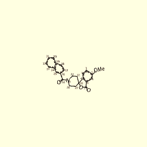 COc1ccc2c(c1)C(=O)OC21CCN(C(=O)c2ccc3ccccc3c2)CC1